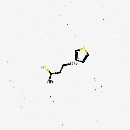 CCCC(S)CCOC(C)=O.c1ccsc1